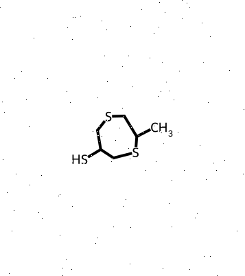 CC1CSCC(S)CS1